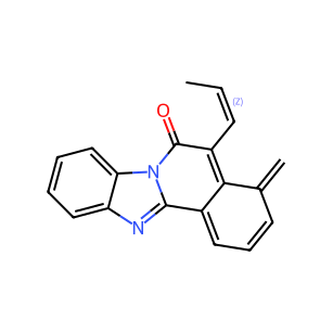 C=c1cccc2c1c(/C=C\C)c(=O)n1c3ccccc3nc21